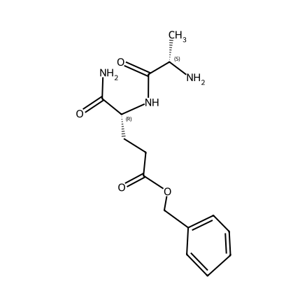 C[C@H](N)C(=O)N[C@H](CCC(=O)OCc1ccccc1)C(N)=O